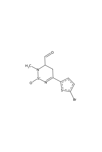 CN1C(C=O)CC(c2ccc(Br)s2)=N[S+]1[O-]